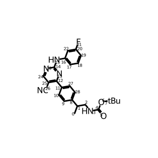 CC(CNC(=O)OC(C)(C)C)c1ccc(-c2nc(Nc3cccc(F)c3)ncc2C#N)cc1